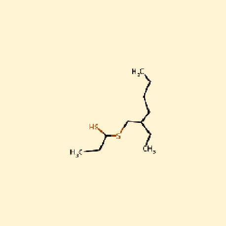 CCCCC(CC)CSC(S)CC